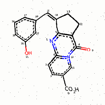 O=C(O)c1ccc2nc3c(c(=O)n2c1)CC/C3=C/c1cccc(O)c1